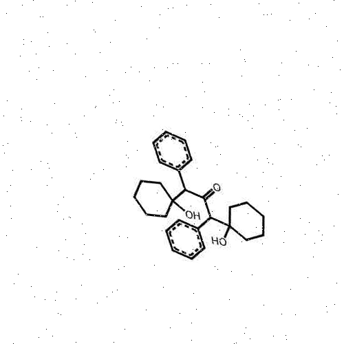 O=C(C(c1ccccc1)C1(O)CCCCC1)C(c1ccccc1)C1(O)CCCCC1